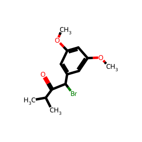 COc1cc(OC)cc(C(Br)C(=O)C(C)C)c1